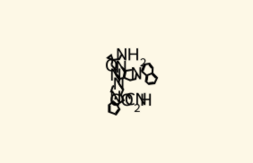 N#CC[C@@]1(Cc2ccccc2)CN(c2nc(OC3(CN)CC3)nc3c2CCN(c2cccc4ccccc24)C3)CCN1C(=O)O